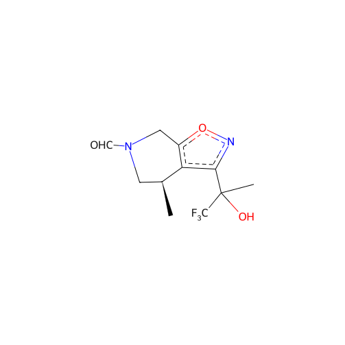 C[C@H]1CN(C=O)Cc2onc(C(C)(O)C(F)(F)F)c21